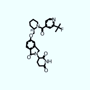 CC(C)(F)c1cc(C(=O)N2CCCC[C@@H]2COc2ccc3c(c2)CN(C2CCC(=O)NC2=O)C3=O)ccn1